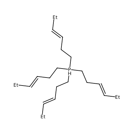 CC/C=C/CC[PH](CC/C=C/CC)(CC/C=C/CC)CC/C=C/CC